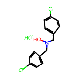 Cl.ON(Cc1ccc(Cl)cc1)Cc1ccc(Cl)cc1